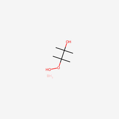 B.CC(C)(O)C(C)(C)OO